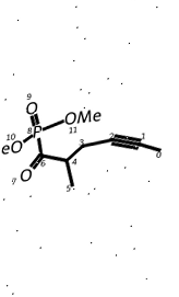 CC#CCC(C)C(=O)P(=O)(OC)OC